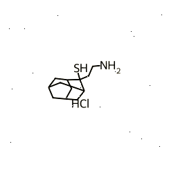 Cl.NCCC1(S)C2CC3CC(C2)CC1C3